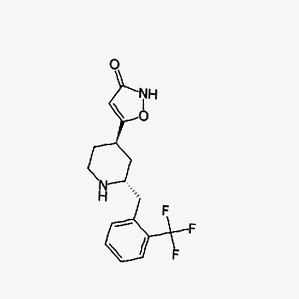 O=c1cc([C@@H]2CCN[C@@H](Cc3ccccc3C(F)(F)F)C2)o[nH]1